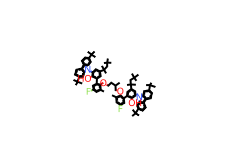 Cc1cc(F)cc(-c2cc(C(C)(C)CC(C)(C)C)cc(-n3c4cc(C(C)(C)C)ccc4c4ccc(C(C)(C)C)cc43)c2O)c1OCCC(C)COc1c(C)cc(F)cc1-c1cc(C(C)(C)CC(C)(C)C)cc(-n2c3cc(C(C)(C)C)ccc3c3ccc(C(C)(C)C)cc32)c1O